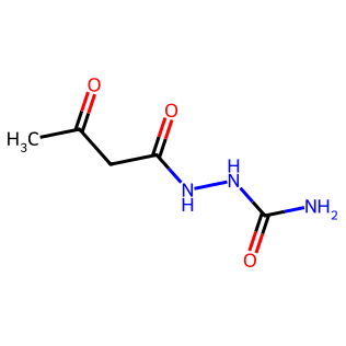 CC(=O)CC(=O)NNC(N)=O